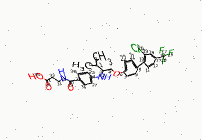 CC(C)C(COc1ccc(-c2ccc(C(F)(F)F)cc2Cl)cc1)Nc1ccc(C(=O)NCCC(=O)O)cc1